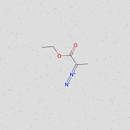 CCOC(=O)C(C)=[N+]=[N-]